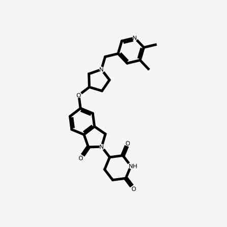 Cc1cc(CN2CCC(Oc3ccc4c(c3)CN(C3CCC(=O)NC3=O)C4=O)C2)cnc1C